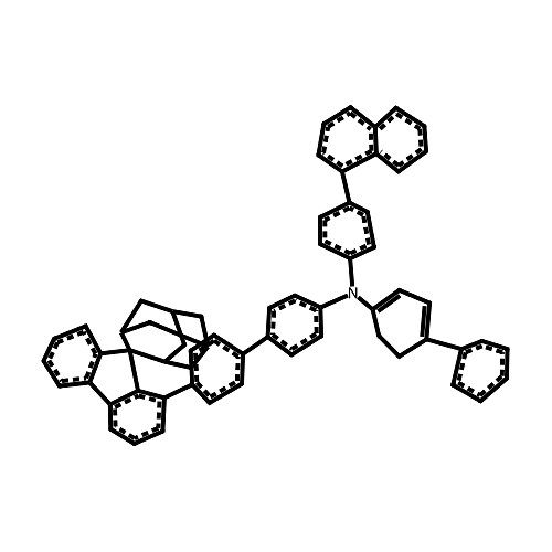 C1=C(c2ccccc2)CCC(N(c2ccc(-c3ccc(-c4cccc5c4C4(c6ccccc6-5)C5CC6CC(C5)CC4C6)cc3)cc2)c2ccc(-c3cccc4ccccc34)cc2)=C1